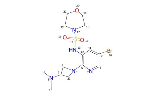 CN(C)C1CN(c2ncc(Br)cc2NS(=O)(=O)N2CCOCC2)C1